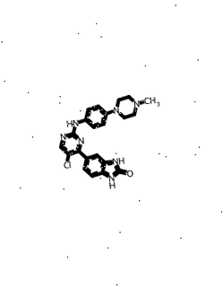 CN1CCN(c2ccc(Nc3ncc(Cl)c(-c4ccc5[nH]c(=O)[nH]c5c4)n3)cc2)CC1